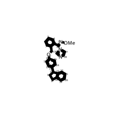 CON=C(c1ccccc1COc1ccc(C2CCc3ccccc32)cc1)n1ccnc1